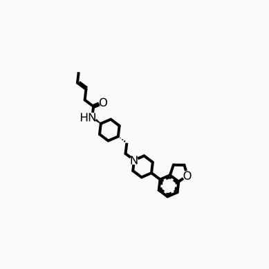 CC=CCC(=O)N[C@H]1CC[C@H](CCN2CCC(c3cccc4c3CCO4)CC2)CC1